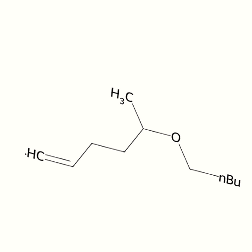 [CH]=CCCC(C)OCCCCC